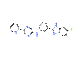 Fc1cc2nc(-c3cccc(Nc4cnc(-c5ccccn5)cn4)c3)[nH]c2cc1F